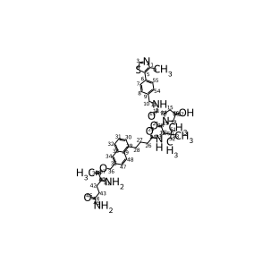 Cc1ncsc1-c1ccc(CNC(=O)[C@@H]2C[C@@H](O)CN2C(=O)[C@@H](NC(=O)CCCc2cccc3cc(CO[C@H](C)[C@@H](N)CCC(N)=O)ccc23)C(C)(C)C)cc1